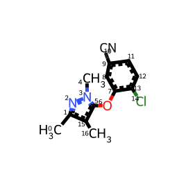 Cc1nn(C)c(Oc2cc(C#N)ccc2Cl)c1C